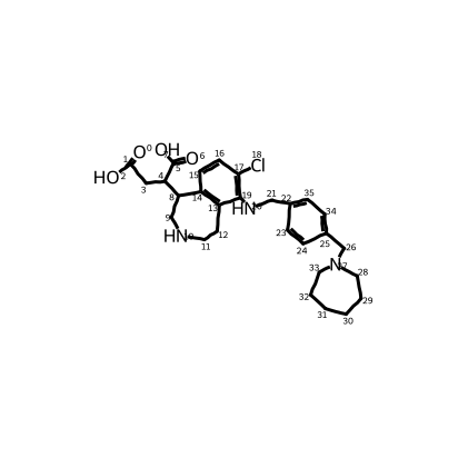 O=C(O)CC(C(=O)O)C1CNCCc2c1ccc(Cl)c2NCc1ccc(CN2CCCCCC2)cc1